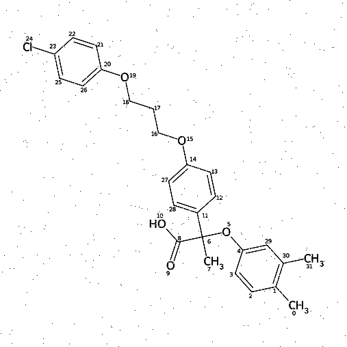 Cc1ccc(OC(C)(C(=O)O)c2ccc(OCCCOc3ccc(Cl)cc3)cc2)cc1C